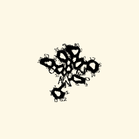 c1ccc(-c2nc(-c3cccc(-n4c5ccccc5c5cc6c(cc54)C4(c5ccccc5-c5ccccc54)c4ccccc4-6)c3)nc(-c3ccc4c(c3)oc3ccccc34)n2)cc1